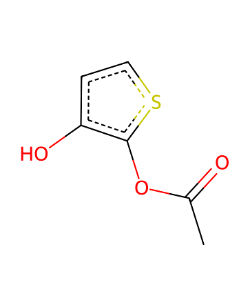 CC(=O)Oc1sccc1O